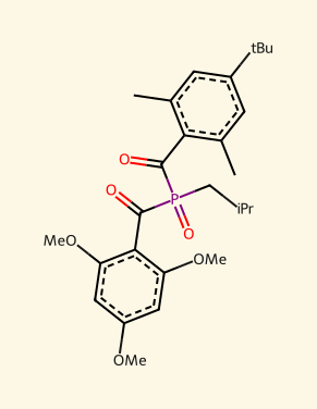 COc1cc(OC)c(C(=O)P(=O)(CC(C)C)C(=O)c2c(C)cc(C(C)(C)C)cc2C)c(OC)c1